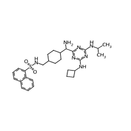 CC(C)Nc1nc(NC2CCC2)nc(C(N)C2CCC(CNS(=O)(=O)c3cccc4ccccc34)CC2)n1